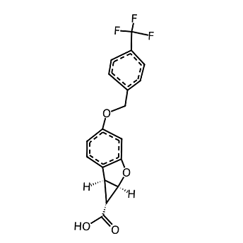 O=C(O)[C@H]1[C@@H]2Oc3cc(OCc4ccc(C(F)(F)F)cc4)ccc3[C@@H]21